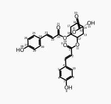 O=C(/C=C/c1ccc(O)cc1)OC1C[C@]2(O)CCC1(OC(=O)/C=C/c1ccc(O)cc1)OC2=O